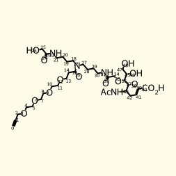 C#CCOCCOCCOCCOCCC(=O)N(CCCCNC(=O)CO)CCCCNC(=O)CO[C@@H]([C@@H]1OC(C(=O)O)=CC[C@H]1NC(C)=O)[C@H](O)CO